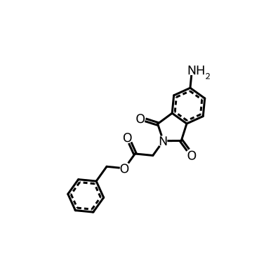 Nc1ccc2c(c1)C(=O)N(CC(=O)OCc1ccccc1)C2=O